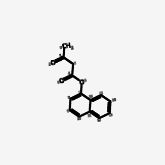 CC(=O)CC(=O)Oc1cccc2ccccc12